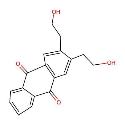 O=C1c2ccccc2C(=O)c2cc(CCO)c(CCO)cc21